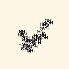 NCC(=O)NCC(=O)N[C@@H](CO)C(=O)NCC(=O)N[C@@H](CO)C(=O)N[C@@H](CO)C(=O)N[C@@H](CO)C(=O)NCC(=O)N[C@@H](CO)C(=O)NCC(=O)N[C@@H](CO)C(=O)NCC(=O)NCC(=O)NCC(=O)N[C@@H](CO)C(=O)O